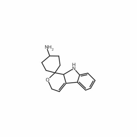 NC1CCC2(CC1)OCC=C1c3ccccc3NC12